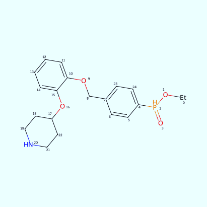 CCO[PH](=O)c1ccc(COc2ccccc2OC2CCNCC2)cc1